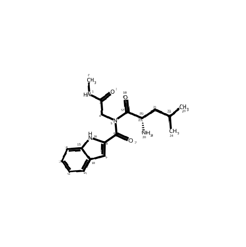 CNC(=O)CN(C(=O)c1cc2ccccc2[nH]1)C(=O)[C@@H](N)CC(C)C